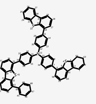 C1=Cc2c(sc3c(-c4ccc(N(c5ccc(-c6cccc7c6sc6ccccc67)cc5)c5ccc(-c6cccc7c6sc6c(-c8ccccc8)cccc67)cc5)cc4)cccc23)CC1